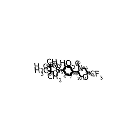 CC1(C)OB(c2ccc([C@@H]3CO[C@@H](C(F)(F)F)CN3C(=O)O)cc2)OC1(C)C